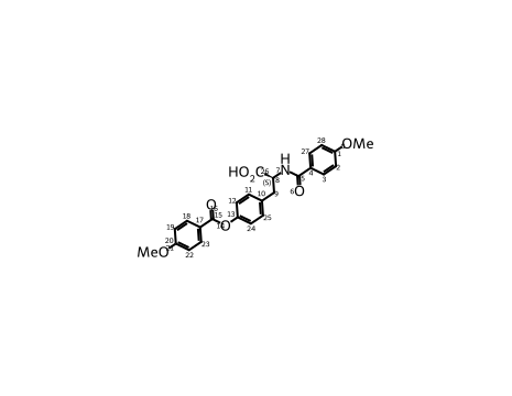 COc1ccc(C(=O)N[C@@H](Cc2ccc(OC(=O)c3ccc(OC)cc3)cc2)C(=O)O)cc1